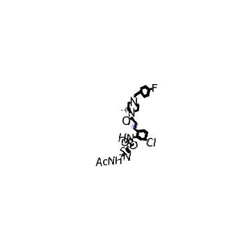 CC(=O)Nc1ncc(S(=O)(=O)Nc2cc(Cl)ccc2/C=C/C(=O)N2CCN(Cc3ccc(F)cc3)C[C@H]2C)s1